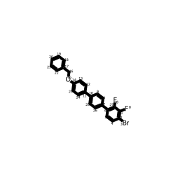 Fc1c(Br)ccc(-c2ccc(-c3ccc(OCc4ccccc4)cc3)cc2)c1F